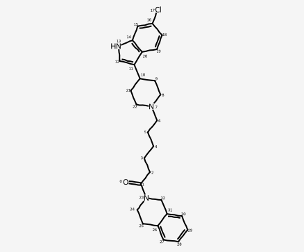 O=C(CCCCCN1CCC(c2c[nH]c3cc(Cl)ccc23)CC1)N1CCc2ccccc2C1